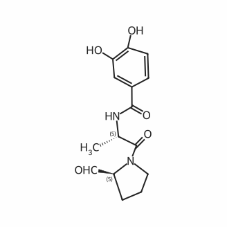 C[C@H](NC(=O)c1ccc(O)c(O)c1)C(=O)N1CCC[C@H]1C=O